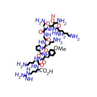 COc1ccc(C[C@H](NC(=O)[C@@H]2CCCN2C(=O)[C@@H](CCCN)NC(=O)CNC(=O)[C@H](CCN)NC(=O)[C@@H](NC(=O)[C@@H](N)CCCCN)[C@@H](O)CN)C(=O)N[C@@H](CCCCN)C(=O)N/C(=C\CCNC(=N)N)C(=O)O)cc1